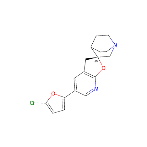 Clc1ccc(-c2cnc3c(c2)C[C@@]2(CN4CCC2CC4)O3)o1